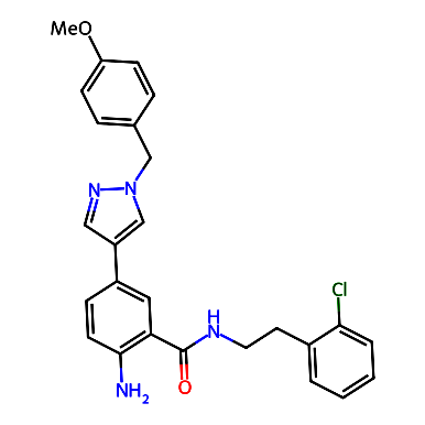 COc1ccc(Cn2cc(-c3ccc(N)c(C(=O)NCCc4ccccc4Cl)c3)cn2)cc1